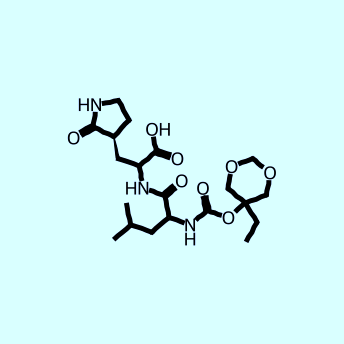 CCC1(OC(=O)NC(CC(C)C)C(=O)NC(C[C@@H]2CCNC2=O)C(=O)O)COCOC1